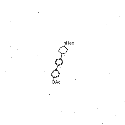 CCCCCCC1CCC(c2ccc(-c3ccc(OC(C)=O)cc3)cc2)CC1